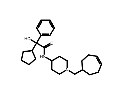 O=C(NC1CCN(CC2CCC=CCC2)CC1)C(O)(c1ccccc1)C1CCCC1